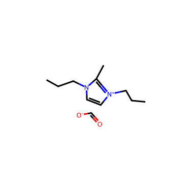 CCCn1cc[n+](CCC)c1C.O=C[O-]